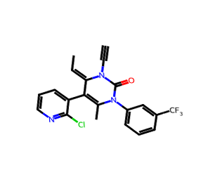 C#CN1C(=O)N(c2cccc(C(F)(F)F)c2)C(C)=C(c2cccnc2Cl)C1=CC